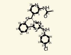 CC(=O)Nc1cc(CSc2ccccc2-c2nnc(Nc3ccc(Cl)cc3)s2)ccn1